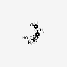 Cc1nn(Cc2ccc(C(C)Oc3ccc(Cl)c(Cl)c3)cc2)c(C)c1CC(=O)O